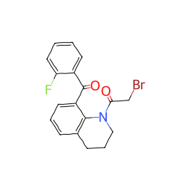 O=C(c1ccccc1F)c1cccc2c1N(C(=O)CBr)CCC2